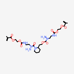 C=C(C)C(=O)OCCOC(=O)NCCN(N)C(=O)OCCC1CCCCN1C(=O)N(N)CCNC(=O)OCCOC(=O)C(=C)C